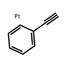 C#Cc1ccccc1.[Pt]